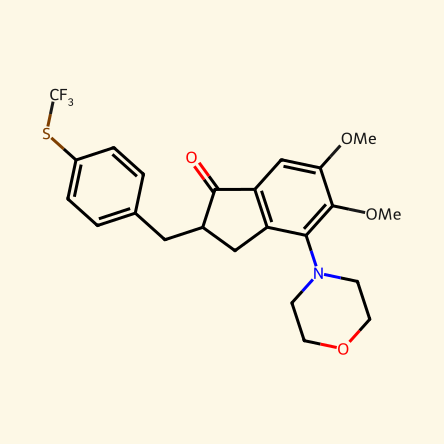 COc1cc2c(c(N3CCOCC3)c1OC)CC(Cc1ccc(SC(F)(F)F)cc1)C2=O